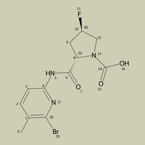 Cc1ccc(NC(=O)[C@@H]2C[C@@H](F)CN2C(=O)O)nc1Br